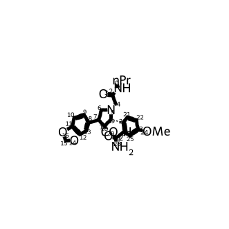 CCCNC(=O)CN1CC(c2ccc3c(c2)OCO3)[C@H](C(=O)O)[C@H]1c1ccc(OC)cc1C(N)=O